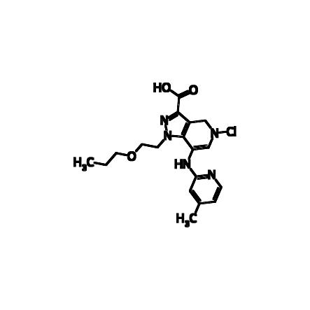 CCCOCCn1nc(C(=O)O)c2c1C(Nc1cc(C)ccn1)=CN(Cl)C2